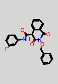 O=C(Nc1cccc(F)c1)C1C(=O)N(OCc2ccccc2)C(=O)c2ccccc21